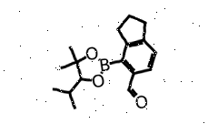 CC(C)C1OB(c2c(C=O)ccc3c2CCC3)OC1(C)C